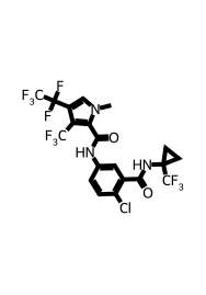 Cn1cc(C(F)(F)C(F)(F)F)c(C(F)(F)F)c1C(=O)Nc1ccc(Cl)c(C(=O)NC2(C(F)(F)F)CC2)c1